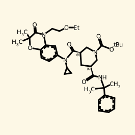 CCOCCN1C(=O)C(C)(C)Oc2ccc(N(C(=O)[C@@H]3C[C@H](C(=O)NC(C)(C)c4ccccc4)CN(C(=O)OC(C)(C)C)C3)C3CC3)cc21